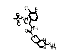 CC(C)Nc1ncc2c(n1)CN(C(=O)N[C@H](CNS(C)(=O)=O)c1ccc(F)c(Cl)c1)CC2